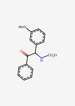 CCOC(=O)NC(C(=O)c1ccccc1)c1cccc(OC)c1